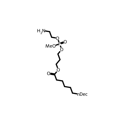 CCCCCCCCCCCCCCCC(=O)OCCCOP(=O)(OC)OCCN